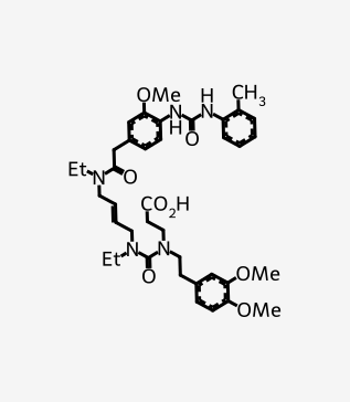 CCN(CC=CCN(CC)C(=O)N(CCC(=O)O)CCc1ccc(OC)c(OC)c1)C(=O)Cc1ccc(NC(=O)Nc2ccccc2C)c(OC)c1